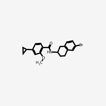 COc1cc(C2CC2)ccc1C(=O)NC1CCc2cc(Br)ccc2C1